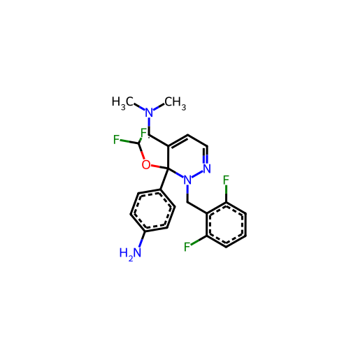 CN(C)[CH]C1=CC=NN(Cc2c(F)cccc2F)C1(OC(F)F)c1ccc(N)cc1